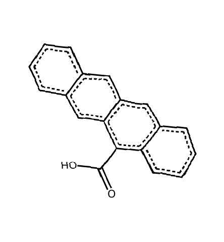 O=C(O)c1c2ccccc2cc2cc3ccccc3cc12